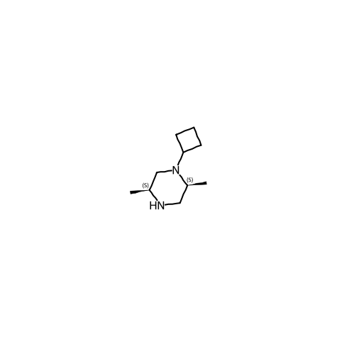 C[C@H]1CN(C2CCC2)[C@@H](C)CN1